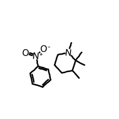 CC1CCCN(C)C1(C)C.O=[N+]([O-])c1ccccc1